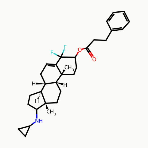 C[C@]12CCC(OC(=O)CCc3ccccc3)C(F)(F)C1=CC[C@@H]1[C@H]2CC[C@]2(C)C(NC3CC3)CC[C@@H]12